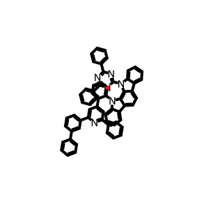 c1ccc(-c2cccc(-c3cc(-c4ccccc4-n4c5ccccc5c5ccc6c7ccccc7n(-c7nc(-c8ccccc8)nc(-c8ccccc8)n7)c6c54)cc(-c4ccccc4)n3)c2)cc1